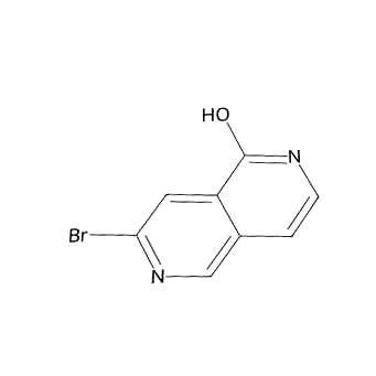 Oc1nccc2cnc(Br)cc12